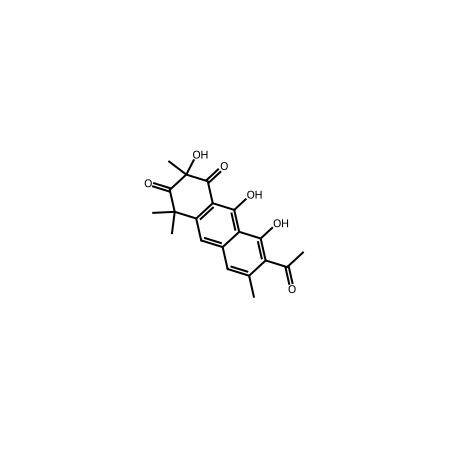 CC(=O)c1c(C)cc2cc3c(c(O)c2c1O)C(=O)C(C)(O)C(=O)C3(C)C